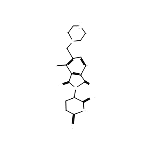 O=C1CCC(N2C(=O)c3ccc(CN4CCNCC4)c(Cl)c3C2=O)C(=O)N1